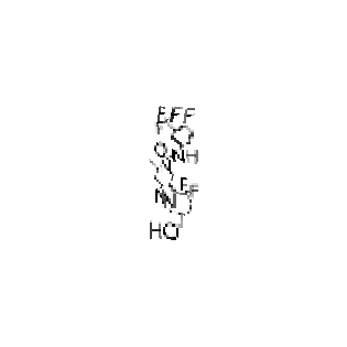 C[C@@H]1Cc2nn3c(c2CN1C(=O)Nc1ccc(F)c(C(F)(F)F)c1)C(F)(F)CCC(CO)C3